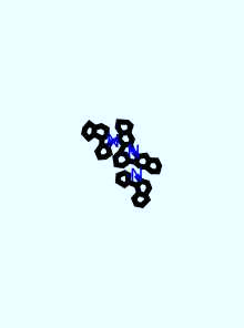 c1ccc2c(-n3c4ccccc4c4c5ccccc5ccc43)c3c4cccc5c6c(-n7c8ccccc8c8c9ccccc9ccc87)c7ccccc7cc6n(c3cc2c1)c45